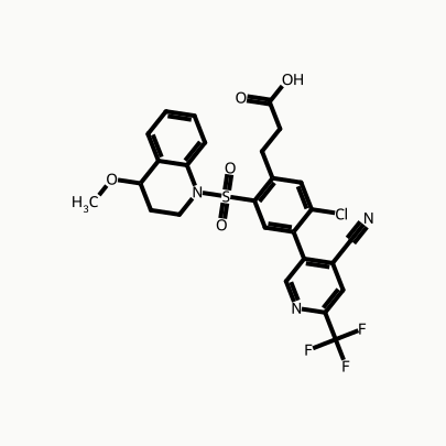 COC1CCN(S(=O)(=O)c2cc(-c3cnc(C(F)(F)F)cc3C#N)c(Cl)cc2CCC(=O)O)c2ccccc21